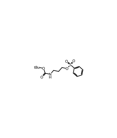 CC(C)(C)OC(=O)NCCCOS(=O)(=O)c1ccccc1